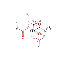 C=CC(=O)[O][Ti](=[O])([O]C(C)C)([C](=O)C=C)[C](=O)C=C